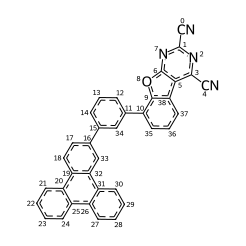 N#Cc1nc(C#N)c2c(n1)oc1c(-c3cccc(-c4ccc5c6ccccc6c6ccccc6c5c4)c3)cccc12